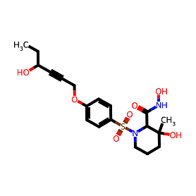 CCC(O)C#CCOc1ccc(S(=O)(=O)N2CCCC(C)(O)C2C(=O)NO)cc1